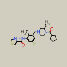 Cc1c(CN2CCN(C(=O)C3CCCC3)C(C)C2)cc(F)cc1NC(=O)c1cscn1